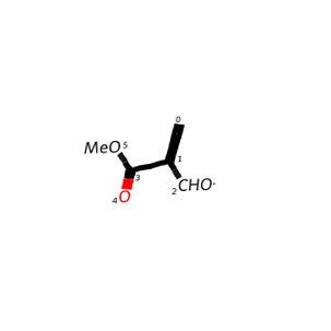 C=C([C]=O)C(=O)OC